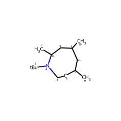 CC1CCN(C(C)(C)C)C(C)CC(C)C1